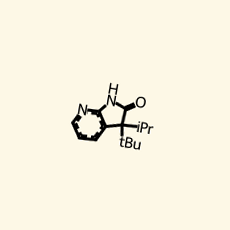 CC(C)C1(C(C)(C)C)C(=O)Nc2ncccc21